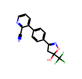 N#Cc1ncccc1-c1ccc(C2=NOC(O)(C(F)(F)F)C2)cc1